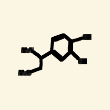 CNC(COC)c1ccc(O)c(O)c1